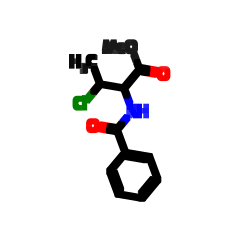 COC(=O)C(NC(=O)c1ccccc1)C(C)Cl